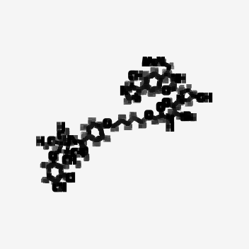 CNC[C@@H](NC(=O)[C@@H]1C[C@@H](O)CN1C(=O)C(NC(=O)COCCCCCOc1ccc(C(=O)N[C@H]2C(C)(C)[C@H](Oc3ccc(C#N)c(Cl)c3)C2(C)C)cc1)C(C)(C)C)c1ccc(-c2scnc2C)cc1